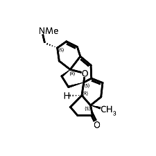 CNC[C@@H]1C=CC2=CC3=CC[C@]4(C)C(=O)CC[C@H]4[C@@]34CC[C@]2(C1)O4